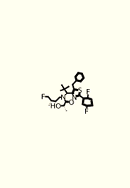 C[C@H](CF)CCN(C(=O)[C@H](C)O)[C@H](c1nc(-c2cc(F)ccc2F)sc1Cc1ccccc1)C(C)(C)C